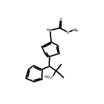 CC(C)(C)OC(=O)Nc1ccc(C(c2ccccc2)C(C)(C)C(=O)O)cc1